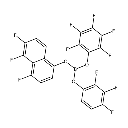 Fc1ccc(OB(Oc2c(F)c(F)c(F)c(F)c2F)Oc2ccc(F)c3c(F)c(F)ccc23)c(F)c1F